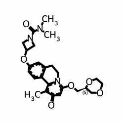 Cc1c2n(c(OC[C@@H]3COCCO3)cc1=O)CCc1cc(OC3CN(C(=O)N(C)C)C3)ccc1-2